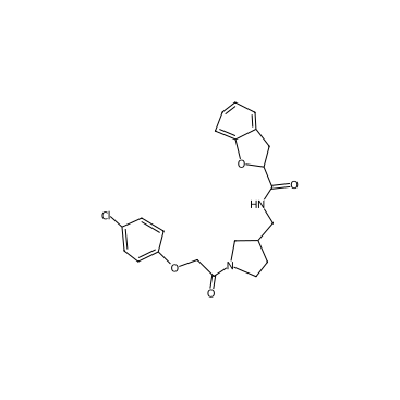 O=C(NCC1CCN(C(=O)COc2ccc(Cl)cc2)C1)C1Cc2ccccc2O1